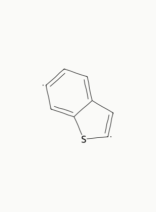 [c]1ccc2c[c]sc2c1